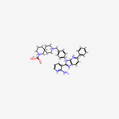 Nc1ncccc1-c1nc2ccc(-c3ccccc3)nc2n1-c1ccc(CN2CCC3(CCCN(C(=O)O)C3)CC2)cc1